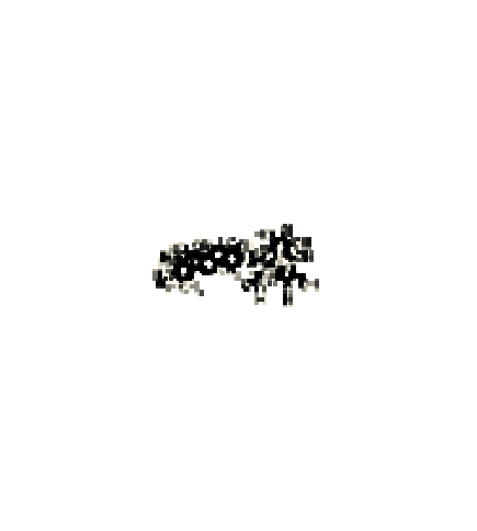 CC1(C)CC2C3=CCC4[C@@]5(C)CC[C@H](O[C@H](OC(O)C(=O)O)[C@H](COC6O[C@@H](CO)[C@@H](O)C6O)O[C@@H]6OC(CO)[C@H](O)C(O)[C@@H]6O)C(C)(C)C5CC[C@@]4(C)[C@]3(C)[C@@H](O)[C@@H](O)[C@@]2(CO)[C@@H](O)[C@@H]1O